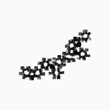 c1ccc(-c2nc3ccc4c5cc(-c6ccc7c(c6)c6ccccc6n7-c6cccc(-c7ccc8sc9ccccc9c8c7)c6)ccc5n(-c5ccccc5)c4c3o2)cc1